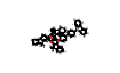 CC1(C)c2ccccc2-c2ccc(N(c3ccc4c(c3)C(C)(C)c3ccccc3-4)c3cccc4c3C3(c5ccccc5Oc5ccc(-c6ccc(-n7c8ccccc8c8ccccc87)cc6)cc53)c3ccccc3-4)cc21